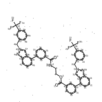 O=C(NCCOC(=O)c1cccc(-c2cccc3nn(Cc4cccc(C(F)(F)F)c4)cc23)c1)c1cccc(-c2cccc3nn(Cc4cccc(C(F)(F)F)c4)cc23)c1